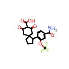 NC(=O)c1ccc(C2CCCC23CC(=O)C(C(=O)O)C(=O)C3)c(OC(F)(F)F)c1